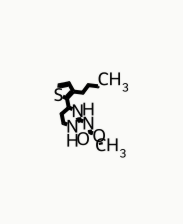 CCCCc1ccsc1C1CCNC(NC(=O)OC)=N1